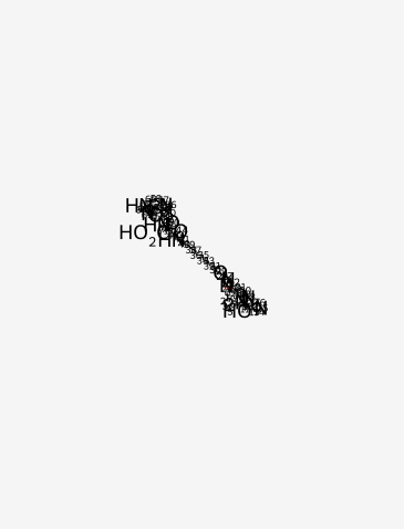 Cc1ccc(C)c(Cn2c(C(O)c3ccncc3)nc3ccc(-c4cnn(CCOCCCCCCCCCCCCNC(=O)CC[C@H](NC(=O)c5ccc(N(C)Cc6ccc7[nH]c(C)nc(=O)c7c6)s5)C(=O)O)c4)cc32)c1